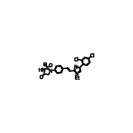 CCn1cc(-c2ccc(Cl)cc2Cl)nc1C=Cc1ccc(N2CC(=O)NS2(=O)=O)cc1